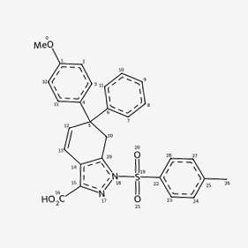 COc1ccc(C2(c3ccccc3)C=Cc3c(C(=O)O)nn(S(=O)(=O)c4ccc(C)cc4)c3C2)cc1